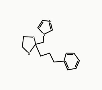 c1ccc(CCCC2(Cn3ccnc3)SCCS2)cc1